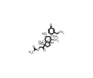 CCC1=CC(=O)C=C[C@]1(C)[C@@H]1[C@@H](C)[C@@H]2CC[C@](O)(C(=O)COC(C)=O)[C@@]2(C)C[C@@H]1O